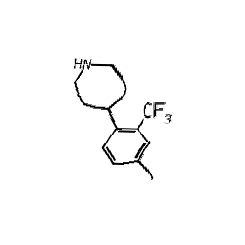 Cc1ccc(C2CCNCC2)c(C(F)(F)F)c1